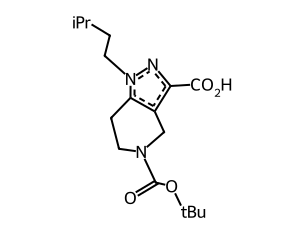 CC(C)CCn1nc(C(=O)O)c2c1CCN(C(=O)OC(C)(C)C)C2